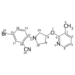 Cc1cccnc1OC1CCN(c2ccc(Br)cc2C#N)C1